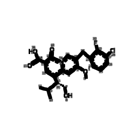 COc1cc2c([C@H](CO)C(C)C)cc(C(=O)O)c(=O)n2cc1Cc1cccc(Cl)c1F